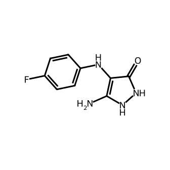 Nc1[nH][nH]c(=O)c1Nc1ccc(F)cc1